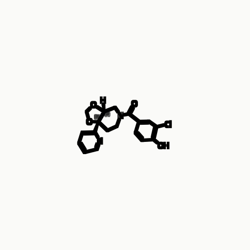 O=C(c1ccc(O)c(Cl)c1)N1CC[C@]2(c3ccccn3)OCO[C@@H]2C1